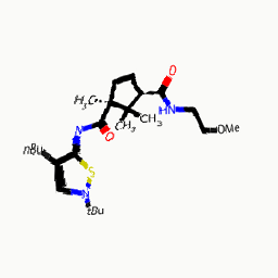 CCCCc1cn(C(C)(C)C)s/c1=N\C(=O)[C@@]1(C)CC[C@@H](C(=O)NCCOC)C1(C)C